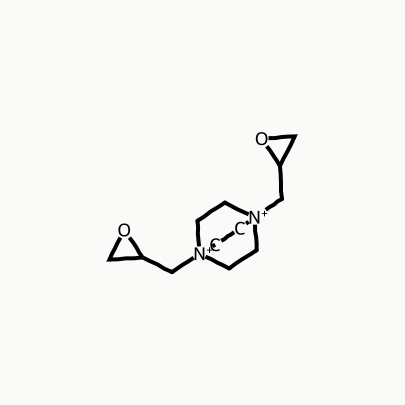 C1OC1C[N+]12CC[N+](CC3CO3)(CC1)CC2